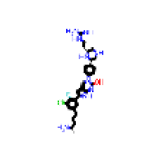 C[C@H](N)CCCc1cc(Cl)c(F)c(-c2cc3c([nH]2)=NC(O)N(c2ccc([C@@H]4CNC[C@@H](CCNC(=N)N)N4)cc2)C=3)c1